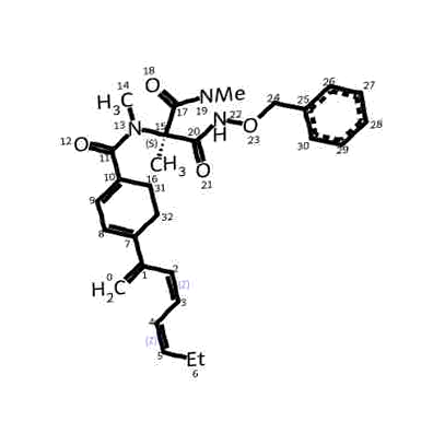 C=C(/C=C\C=C/CC)C1=CC=C(C(=O)N(C)[C@@](C)(C(=O)NC)C(=O)NOCc2ccccc2)CC1